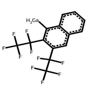 FC(F)(F)C(F)(F)c1cc2ccccc2[c]([GaH2])c1C(F)(F)C(F)(F)F